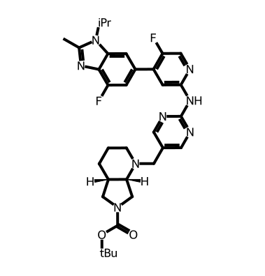 Cc1nc2c(F)cc(-c3cc(Nc4ncc(CN5CCC[C@H]6CN(C(=O)OC(C)(C)C)C[C@H]65)cn4)ncc3F)cc2n1C(C)C